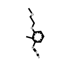 COCCOc1cccc(N=C=S)c1C